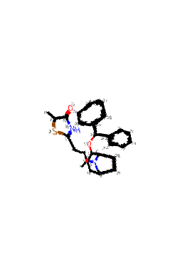 CC1SC(CCC(C)N2C3CCC(OC(c4ccccc4)c4ccccc4)C2CC3)NC1=O